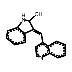 OC1Nc2ccccc2/C1=C\c1ccnc2ccccc12